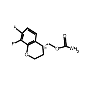 NC(=O)OC[C@@H]1CCOc2c1ccc(F)c2F